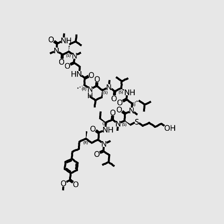 CC[C@H](NC(=O)C(C[C@H](C)CCCc1ccc(C(=O)OC)cc1)N(C)C(=O)CC(C)C)C(=O)N(C)[C@H](CSCCCCO)C(=O)N(C)[C@@H](CC(C)C)C(=O)N[C@H](C(=O)N(C)[C@@H](CC(C)C)C(=O)N[C@H](C)C(=O)NCC(=O)N(C)[C@@H](CC(C)C)C(=O)N(C)C(=O)NC)C(C)C